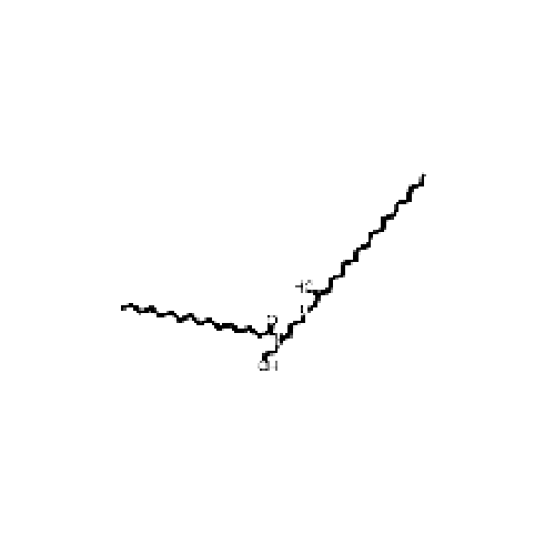 CCCCCCCCCCCCCCCCC(O)COCCCN(CCO)C(=O)CCCCCCCCCCCCCCC